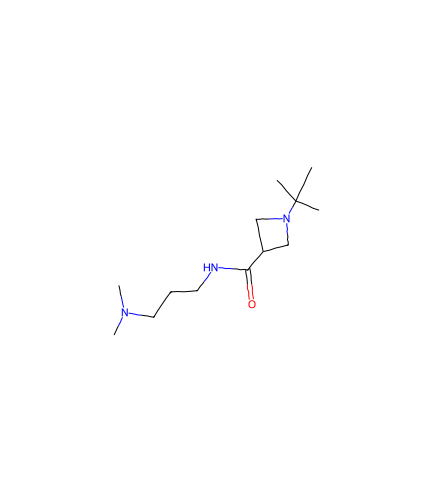 CN(C)CCCNC(=O)C1CN(C(C)(C)C)C1